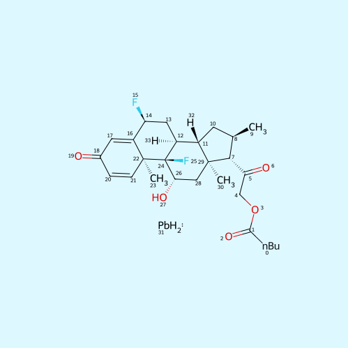 CCCCC(=O)OCC(=O)[C@H]1[C@H](C)C[C@H]2[C@@H]3C[C@H](F)C4=CC(=O)C=C[C@]4(C)[C@@]3(F)[C@@H](O)C[C@@]21C.[PbH2]